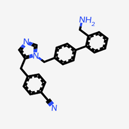 N#Cc1ccc(Cc2cncn2Cc2ccc(-c3ccccc3CN)cc2)cc1